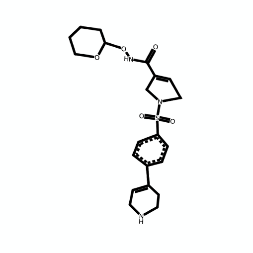 O=C(NOC1CCCCO1)C1=CCN(S(=O)(=O)c2ccc(C3=CCNCC3)cc2)C1